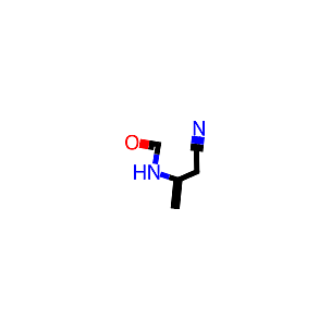 C=C(CC#N)NC=O